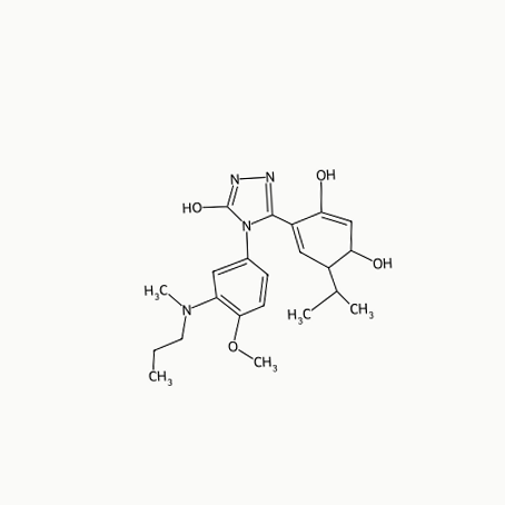 CCCN(C)c1cc(-n2c(O)nnc2C2=CC(C(C)C)C(O)C=C2O)ccc1OC